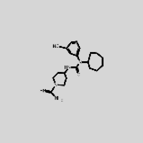 N#Cc1cccc(N(C(=O)NC2CCN(C(=N)N)CC2)C2CCCCCC2)c1